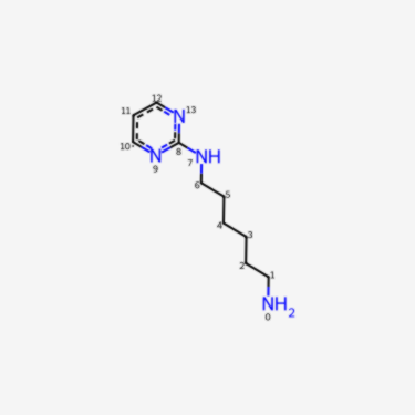 NCCCCCCNc1n[c]ccn1